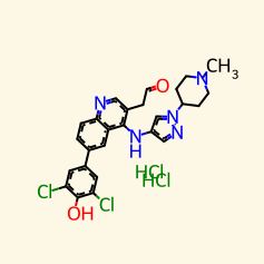 CN1CCC(n2cc(Nc3c(CC=O)cnc4ccc(-c5cc(Cl)c(O)c(Cl)c5)cc34)cn2)CC1.Cl.Cl